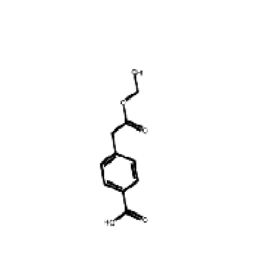 O=C(Cc1ccc(C(=O)O)cc1)OCO